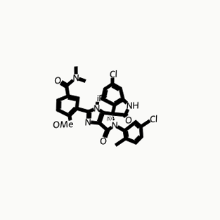 COc1ccc(C(=O)N(C)C)cc1-c1nc2c(n1C(C)C)[C@@]1(C(=O)Nc3cc(Cl)ccc31)N(c1cc(Cl)ccc1C)C2=O